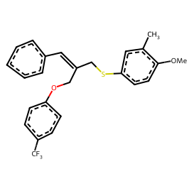 COc1ccc(SCC(=Cc2ccccc2)COc2ccc(C(F)(F)F)cc2)cc1C